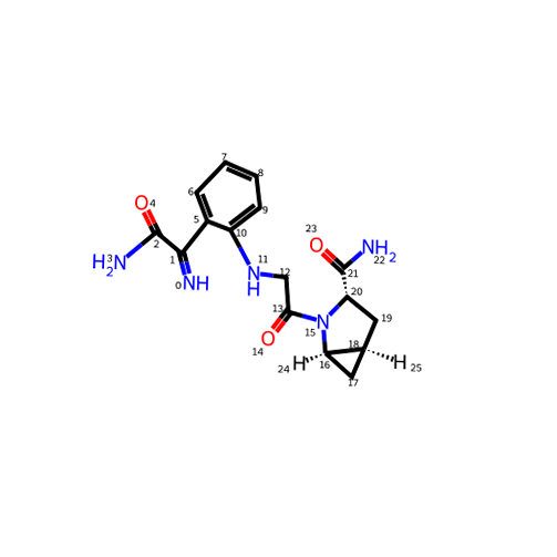 N=C(C(N)=O)c1ccccc1NCC(=O)N1[C@@H]2C[C@@H]2C[C@H]1C(N)=O